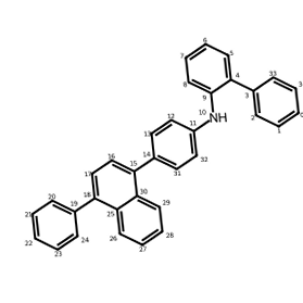 c1ccc(-c2ccccc2Nc2ccc(-c3ccc(-c4ccccc4)c4ccccc34)cc2)cc1